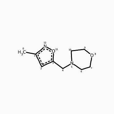 Cc1cc(CN2CCOCC2)on1